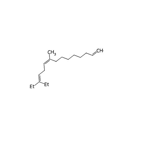 [CH]=CCCCCCCC(C)=CCC=C(CC)CC